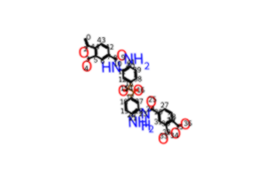 C=C1OC(=O)c2cc(C(=O)Nc3cc(S(=O)(=O)c4ccc(N)c(NC(=O)c5ccc6c(c5)C(=O)OC6=O)c4)ccc3N)ccc21